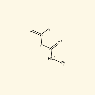 C=C(C)CC(=O)NC(C)C